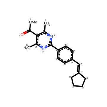 COC(=O)c1c(C)nc(-c2ccc(C=C3CCCC3)cc2)nc1C